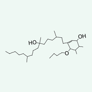 CCCCCC(C)CCCC(C)(O)CCCC(C)CCC1=CC(O)C(C)C(C)C1OCCCC